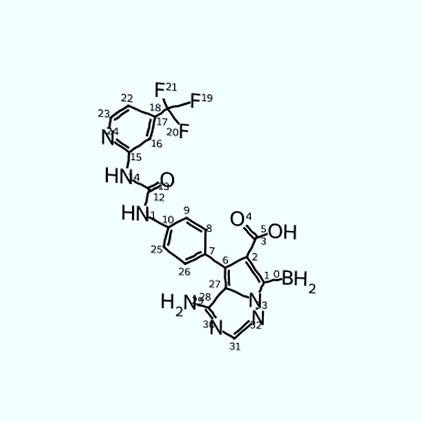 Bc1c(C(=O)O)c(-c2ccc(NC(=O)Nc3cc(C(F)(F)F)ccn3)cc2)c2c(N)ncnn12